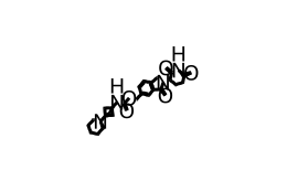 O=C1CCC(N2Cc3ccc(COC(=O)NC45CC(N6CCCCC6)(C4)C5)cc3C2=O)C(=O)N1